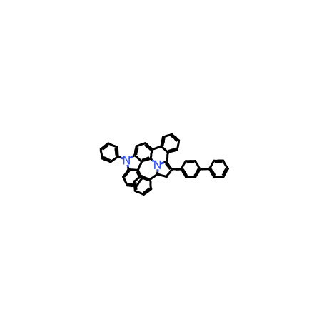 c1ccc(-c2ccc(C3=C4c5ccccc5-c5ccc6c(c5N4C(c4ccccc4)C3)c3ccccc3n6-c3ccccc3)cc2)cc1